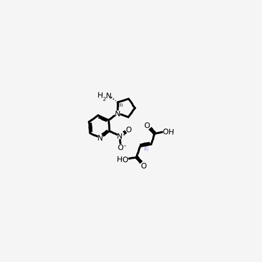 N[C@@H]1CCCN1c1cccnc1[N+](=O)[O-].O=C(O)/C=C/C(=O)O